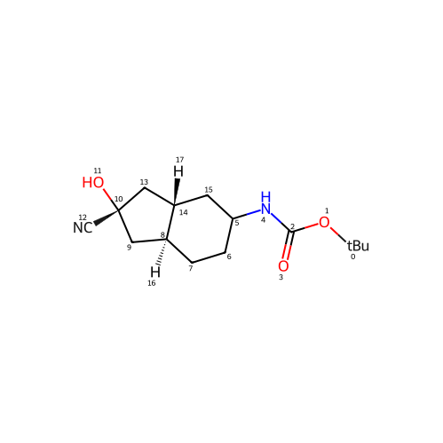 CC(C)(C)OC(=O)NC1CC[C@H]2C[C@@](O)(C#N)C[C@@H]2C1